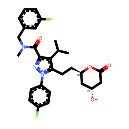 CC(C)c1c(C(=O)N(C)Cc2cccc(F)c2)nn(-c2ccc(F)cc2)c1CC[C@@H]1C[C@@H](O)CC(=O)O1